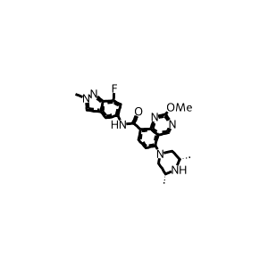 COc1ncc2c(N3C[C@@H](C)N[C@@H](C)C3)ccc(C(=O)Nc3cc(F)c4nn(C)cc4c3)c2n1